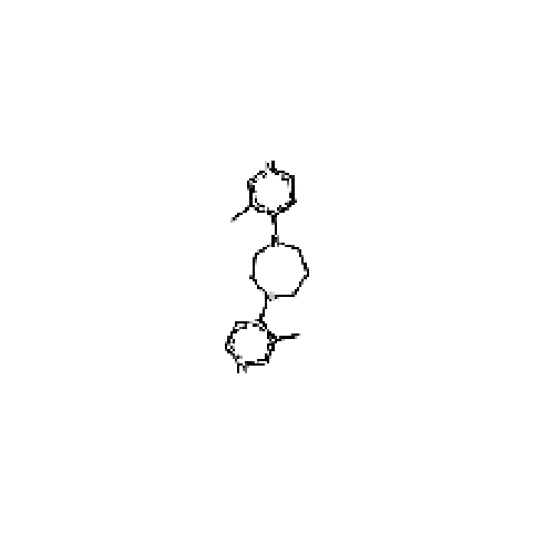 Cc1cnccc1N1CCCN(c2ccncc2C)CC1